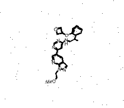 COCCn1ncc2cc(-c3cc(NCC(C)c4ccccc4OC4COC4)ncn3)cnc21